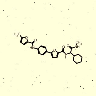 CNC(=O)C(NC(=O)c1ccc(-c2ccc(NC(=O)c3ccc(C)o3)cc2)o1)C1CCCCC1